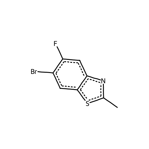 Cc1nc2cc(F)c(Br)cc2s1